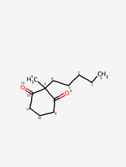 CCCCCC1(C)C(=O)CCCC1=O